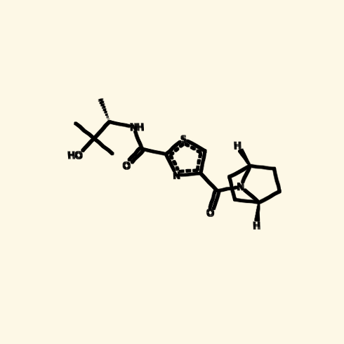 C[C@H](NC(=O)c1nc(C(=O)N2[C@H]3CC[C@@H]2CC3)cs1)C(C)(C)O